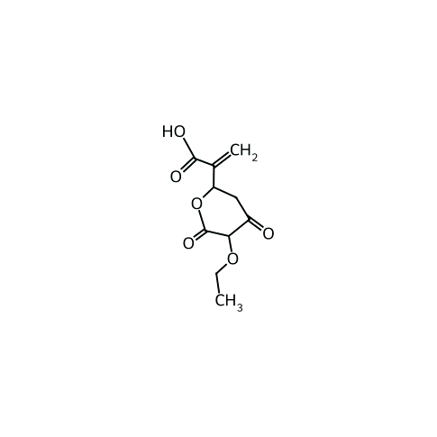 C=C(C(=O)O)C1CC(=O)C(OCC)C(=O)O1